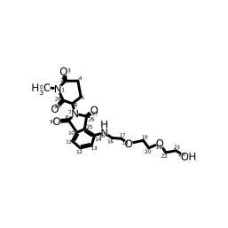 CN1C(=O)CCC(N2C(=O)c3cccc(NCCOCCOCCO)c3C2=O)C1=O